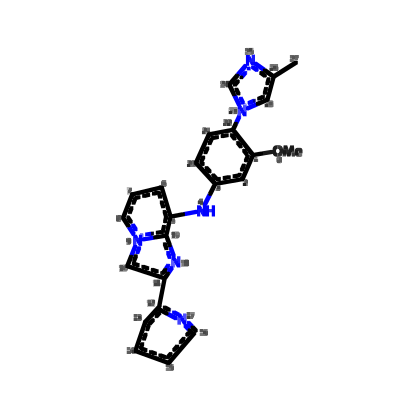 COc1cc(Nc2cccn3cc(-c4ccccn4)nc23)ccc1-n1cnc(C)c1